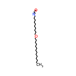 CCCCCCCCCCCCCCOCCCCCCCCCCN=C=O